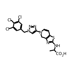 CC(Nc1nc2c(s1)C=CN(c1cn(Cc3cc(Cl)c(Cl)c(Cl)c3)nn1)C2)C(=O)O